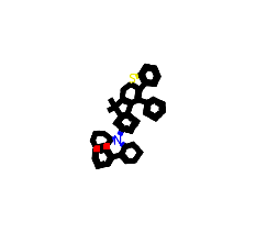 CC1(C)C2=C(C(c3ccccc3)=C3c4ccccc4SC3C2)c2ccc(N(C3C=CCCC3)C3CCCC=C3c3ccccc3)cc21